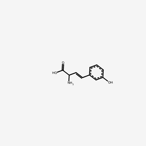 NC(C=Cc1cccc(O)c1)C(=O)O